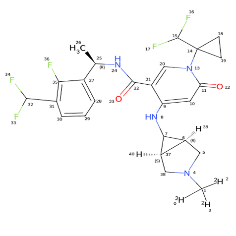 [2H]C([2H])([2H])N1C[C@@H]2C(Nc3cc(=O)n(C4(C(F)F)CC4)cc3C(=O)N[C@H](C)c3cccc(C(F)F)c3F)[C@@H]2C1